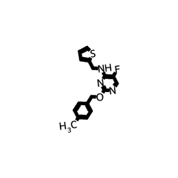 Cc1ccc(COc2ncc(F)c(NCc3cccs3)n2)cc1